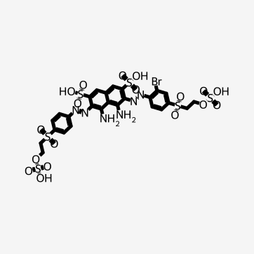 Nc1c(N=Nc2ccc(S(=O)(=O)CCOS(=O)(=O)O)cc2)c(S(=O)(=O)O)cc2cc(S(=O)(=O)O)c(N=Nc3ccc(S(=O)(=O)CCOS(=O)(=O)O)cc3Br)c(N)c12